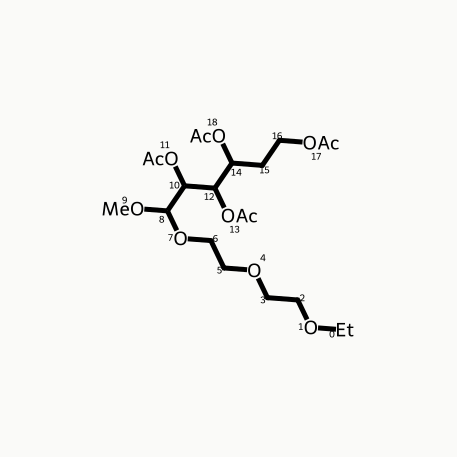 CCOCCOCCOC(OC)C(OC(C)=O)C(OC(C)=O)C(CCOC(C)=O)OC(C)=O